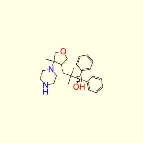 CC1(N2CCNCC2)COCC1CC(C)(C)[Si](O)(c1ccccc1)c1ccccc1